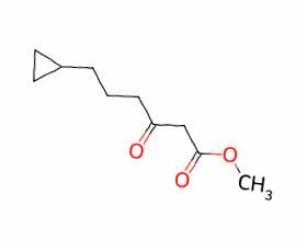 COC(=O)CC(=O)CCCC1CC1